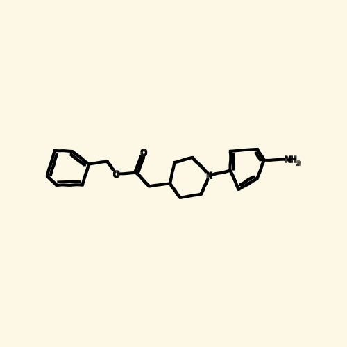 Nc1ccc(N2CCC(CC(=O)OCc3ccccc3)CC2)cc1